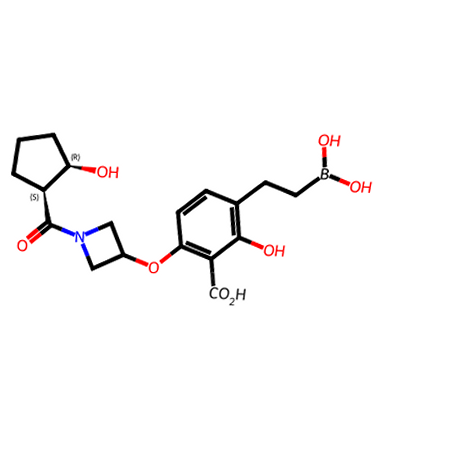 O=C(O)c1c(OC2CN(C(=O)[C@H]3CCC[C@H]3O)C2)ccc(CCB(O)O)c1O